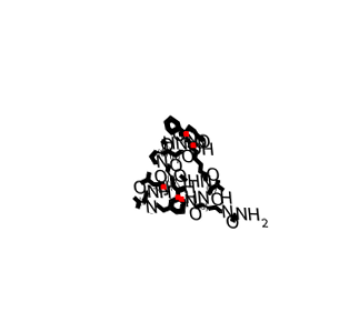 C=C(CC)[C@@H]([C@@H](CC(=O)N1CCC[C@H]1[C@H](OC)[C@@H](C)C(=O)N[C@@H](Cc1ccccc1)C(=O)O)OC)N(C)C(=O)[C@@H](NC(=O)[C@H](C(C)C)N(C)CCc1ccc(NC(=O)[C@H](CCCNC(N)=O)NC(=O)[C@@H](NC(=O)CCCCCN2C(=O)C=CC2=O)C(C)C)cc1)C(C)C